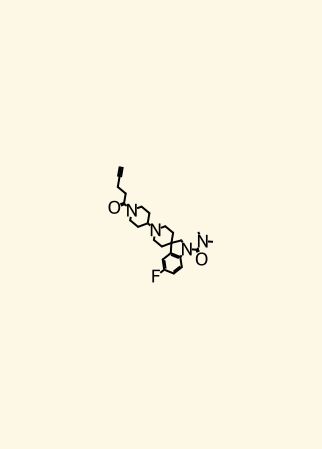 C#CCCC(=O)N1CCC(N2CCC3(CC2)CN(C(=O)N(C)C)c2ccc(F)cc23)CC1